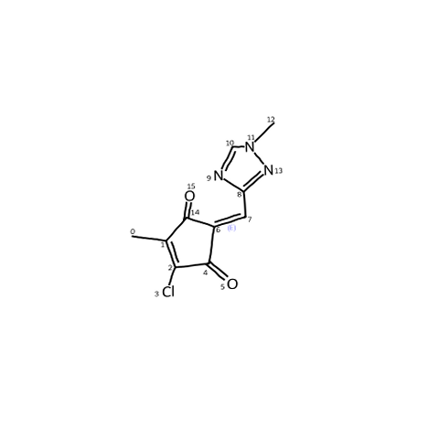 CC1=C(Cl)C(=O)/C(=C/c2ncn(C)n2)C1=O